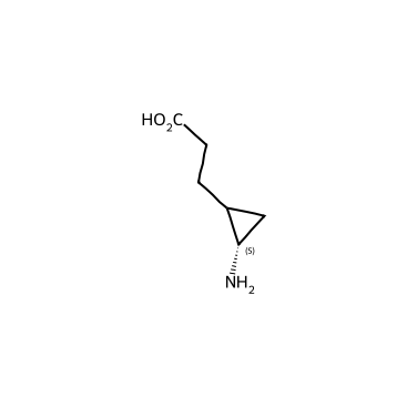 N[C@H]1CC1CCC(=O)O